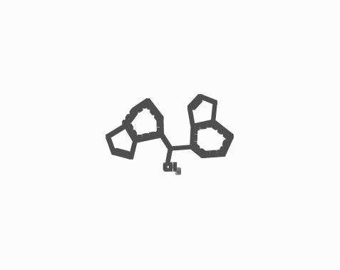 CC(c1cccc2c1C=CC2)c1cccc2c1C=CC2